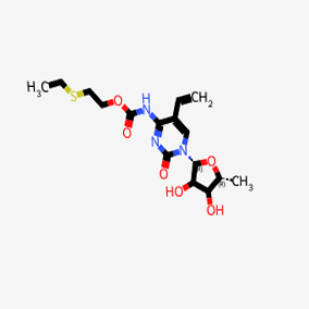 C=Cc1cn([C@@H]2O[C@H](C)C(O)C2O)c(=O)nc1NC(=O)OCCSCC